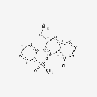 CS(=O)(=O)c1ccccc1-c1nc2c(Cl)cccc2cc1CN